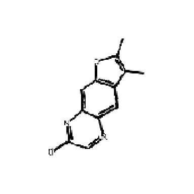 Cc1oc2cc3nc(Cl)cnc3cc2c1C